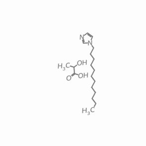 CC(O)C(=O)O.CCCCCCCCCCCCn1ccnc1